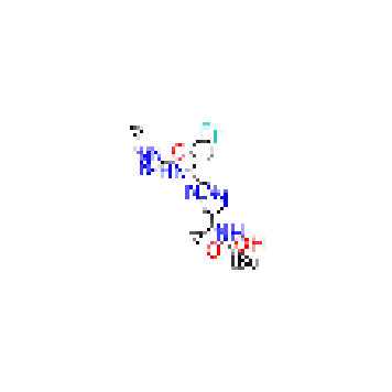 CC(C)(C)[C@@H](O)C(=O)NC(c1cnn2cc([C@@H](NC(=O)c3cnn(CC4CC4)n3)C3CCC(F)(F)CC3)nc2c1)C1CC1